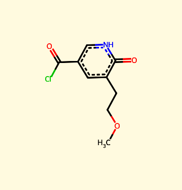 COCCc1cc(C(=O)Cl)c[nH]c1=O